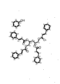 O=C(/C=C/c1ccccc1)OCC(OC(=O)/C=C/c1ccccc1)SC(COC(=O)/C=C/c1ccccc1)OC(=O)/C=C/c1ccccc1.Oc1ccccc1